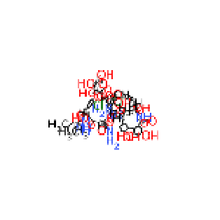 CN[C@H](CC(C)C)C(=O)NC1C(=O)C[C@@H](CC(N)=O)C(=O)N[C@H]2C(=O)C[C@H]3C(=O)C[C@H](C(=O)N[C@@H](OC=O)c4cc(O)cc(O)c4-c4cc3ccc4O)[C@H](O)c3ccc(c(Cl)c3)Oc3cc2cc(c3OC2O[C@@H](CO)[C@@H](O)[C@H](O)[C@@H]2O[C@@H]2C[C@](C)(N)[C@H](O)[C@@H](C)O2)Oc2ccc(cc2Cl)[C@H]1O